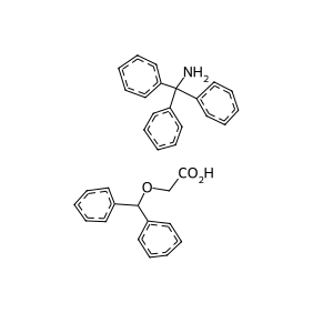 NC(c1ccccc1)(c1ccccc1)c1ccccc1.O=C(O)COC(c1ccccc1)c1ccccc1